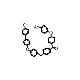 CC(=O)c1ccc(Oc2ccc(C(=O)c3ccc(Cc4ccc(Oc5ccc(-c6ccc(C)cc6)cc5)cc4)cc3)cc2)cc1